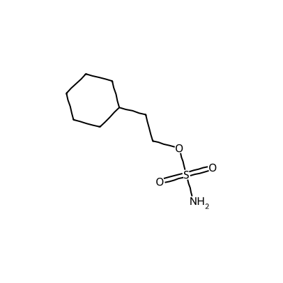 NS(=O)(=O)OCCC1CCCCC1